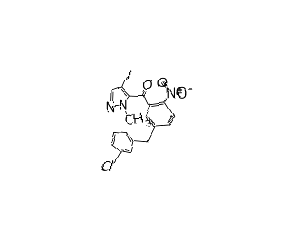 Cn1ncc(I)c1C(=O)c1cc(Cc2cccc(Cl)c2)ccc1[N+](=O)[O-]